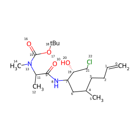 C=CCCC(C)CC(NC(=O)C(C)N(C)C(=O)OC(C)(C)C)[C@H](O)CCl